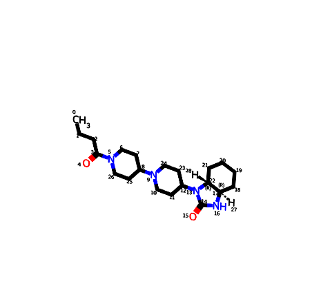 CCCC(=O)N1CCC(N2CCC(N3C(=O)N[C@@H]4CCCC[C@H]43)CC2)CC1